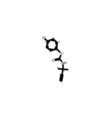 C#CC(C)(C)NC(=O)Sc1ccc(F)cc1